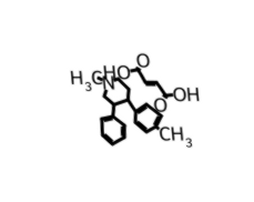 Cc1ccc(C2CCN(C)CC2c2ccccc2)cc1.O=C(O)C=CC(=O)O